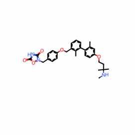 CNC(C)(C)CCOc1ccc(-c2cccc(COc3ccc(Cn4oc(=O)[nH]c4=O)cc3)c2C)c(C)c1